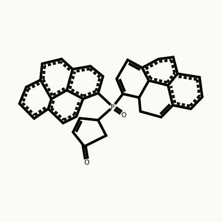 O=C1C=CC(P(=O)(C2=CC=c3ccc4cccc5c4c3C2CC=5)c2ccc3ccc4cccc5ccc2c3c45)C1